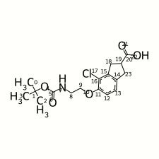 CC(C)(C)OC(=O)NCCOc1ccc2c(c1Cl)CC(C(=O)O)C2